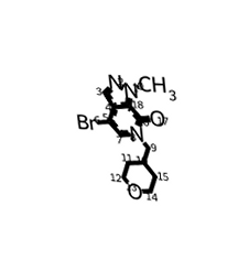 Cn1ncc2c(Br)cn(CC3CCOCC3)c(=O)c21